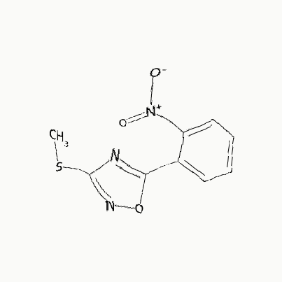 CSc1noc(-c2ccccc2[N+](=O)[O-])n1